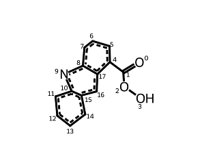 O=C(OO)c1cccc2nc3ccccc3cc12